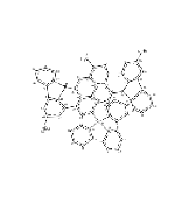 Cc1cc2c3c(cc4c([Si](c5ccccc5)(c5ccccc5)c5ccccc5)cc5c6c(cc1c3c46)B1c3ccccc3-c3cc(C(C)(C)C)cc-5c31)B1c3ccccc3-c3cc(C(C)(C)C)cc-2c31